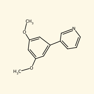 COc1cc(OC)cc(-c2cccnc2)c1